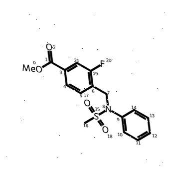 COC(=O)c1ccc(CN(c2ccccc2)S(C)(=O)=O)c(F)c1